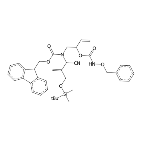 C=CC(CN(C(=O)OCC1c2ccccc2-c2ccccc21)C(C#N)C(=C)CO[Si](C)(C)C(C)(C)C)OC(=O)NOCc1ccccc1